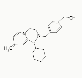 C=C1C=CN2CCN(Cc3ccc(CC)cc3)C(C3CCCCC3)C2=C1